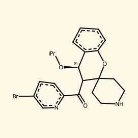 CC(C)O[C@H]1c2ccccc2OC2(CCNCC2)C1C(=O)c1ccc(Br)cn1